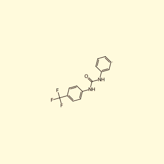 O=C(Nc1c[c]ccc1)Nc1ccc(C(F)(F)F)cc1